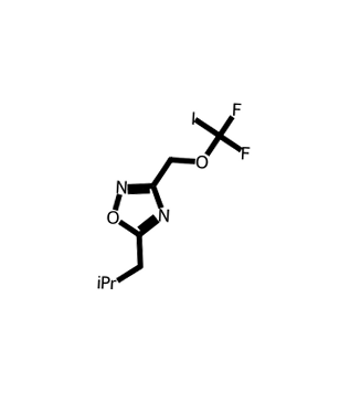 CC(C)Cc1nc(COC(F)(F)I)no1